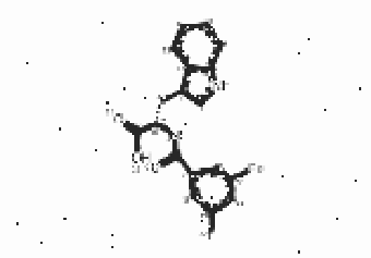 O=C(N[C@@H](Cc1c[nH]c2ccccc12)C(=O)O)c1cc(F)cc(F)c1